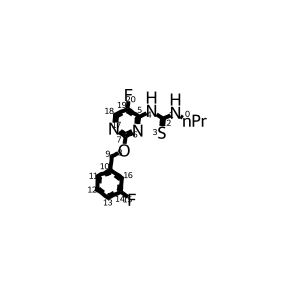 CCCNC(=S)Nc1nc(OCc2cccc(F)c2)ncc1F